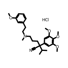 COc1cccc(CCN(C)CCCC(C#N)(c2cc(OC)c(OC)c(OC)c2)C(C)C)c1.Cl